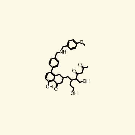 COc1ccc(CNCc2ccc(-c3ccc(O)c4c3CC(CC(CCO)C(CO)C(=O)CC(C)=O)CC4=O)cc2)cc1